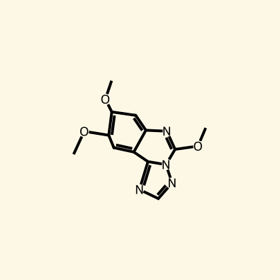 COc1cc2nc(OC)n3ncnc3c2cc1OC